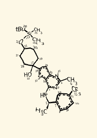 Cc1nc(N[C@H](C)c2cccc(C(F)(F)F)c2)c2sc(C3(O)CCC(O[Si](C)(C)C(C)(C)C)CC3)cc2n1